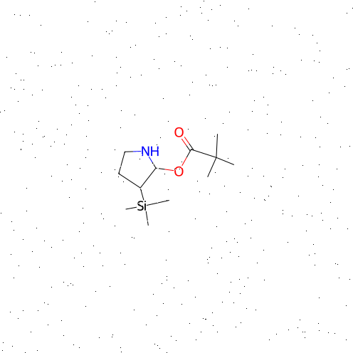 CC(C)(C)C(=O)OC1NCCC1[Si](C)(C)C